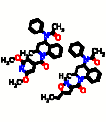 CCc1cc(C(=O)N2c3ccccc3C(N(C(C)=O)c3ccccc3)CC2C)no1.COc1cc(C(=O)N2c3ccccc3C(N(C(C)=O)c3ccccc3)CC2C)cc(OC)n1